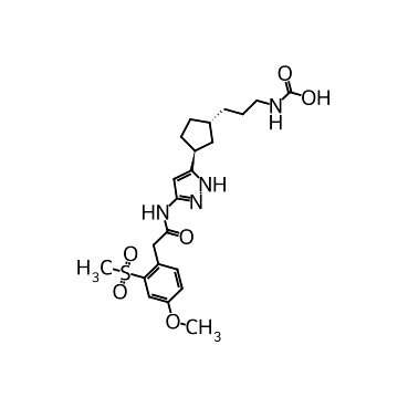 COc1ccc(CC(=O)Nc2cc([C@H]3CC[C@H](CCCNC(=O)O)C3)[nH]n2)c(S(C)(=O)=O)c1